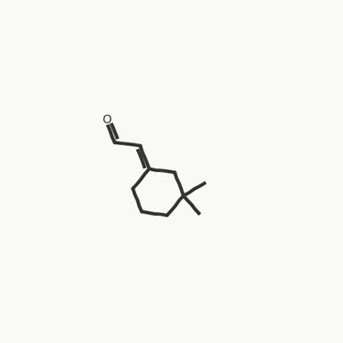 CC1(C)CCC/C(=C\C=O)C1